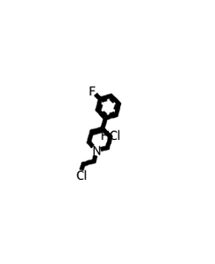 Cl.Fc1cccc(C2=CCN(CCCl)CC2)c1